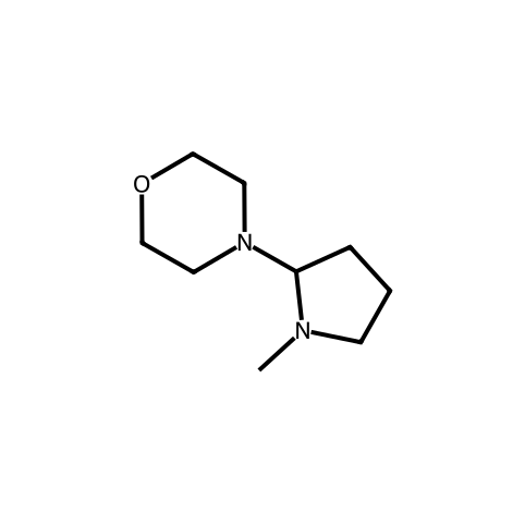 CN1CCCC1N1CCOCC1